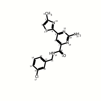 Cc1csc(-c2cc(C(=O)NCc3cccc(Cl)c3)nc(N)n2)n1